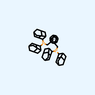 C1C2CC3CC1CC(C2)C3P(C[C]12[CH]3[CH]4[CH]5[C]1(CP(C1C6CC7CC(C6)CC1C7)C1C6CC7CC(C6)CC1C7)[Fe]43521678[CH]2[CH]1[CH]6[CH]7[CH]28)C1C2CC3CC(C2)CC1C3